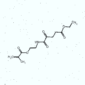 C=C(C)C(=O)OCCNC(=O)C(=O)CCC(=O)OCC